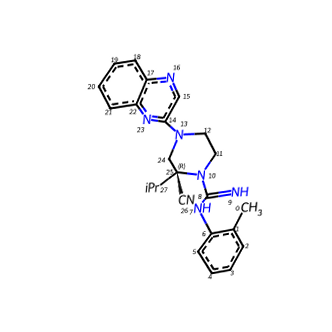 Cc1ccccc1NC(=N)N1CCN(c2cnc3ccccc3n2)C[C@@]1(C#N)C(C)C